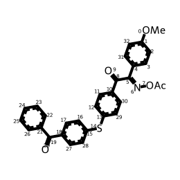 COc1ccc(/C(=N\OC(C)=O)C(=O)c2ccc(Sc3ccc(C(=O)c4ccccc4)cc3)cc2)cc1